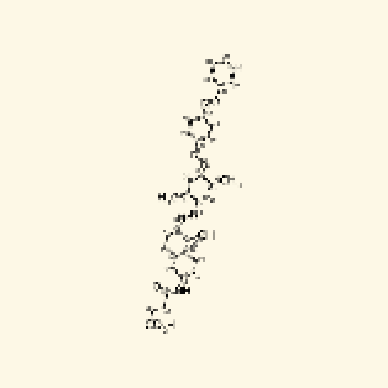 Cc1cc(N=Nc2ccc3cc(NC(=O)CCC(=O)O)ccc3c2O)c(C)cc1N=Nc1ccc(N=Nc2ccccc2)cc1